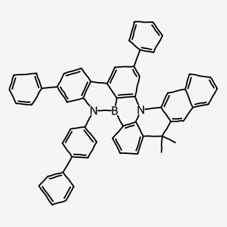 CC1(C)c2cc3ccccc3cc2N2c3cc(-c4ccccc4)cc4c3B(c3cccc1c32)N(c1ccc(-c2ccccc2)cc1)c1cc(-c2ccccc2)ccc1-4